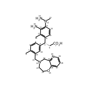 Cc1ccc([C@@H](CC(=O)O)c2ccc(N(C)N)c(N)c2C)cc1CN1CCOc2cccnc2C1